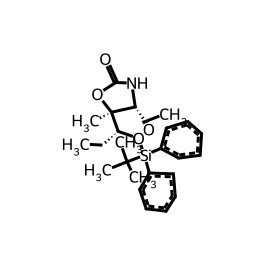 CC[C@@H](O[Si](c1ccccc1)(c1ccccc1)C(C)(C)C)[C@@]1(C)OC(=O)N[C@@H]1C(C)=O